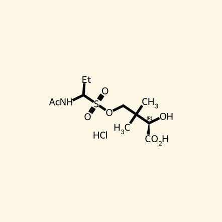 CCC(NC(C)=O)S(=O)(=O)OCC(C)(C)[C@@H](O)C(=O)O.Cl